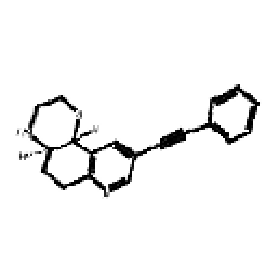 C(#Cc1cnc2c(c1)[C@H]1OCCN[C@@H]1CC2)c1ccccc1